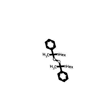 CCCCCCC(C)(OOC(C)(CCCCCC)c1ccccc1)c1ccccc1